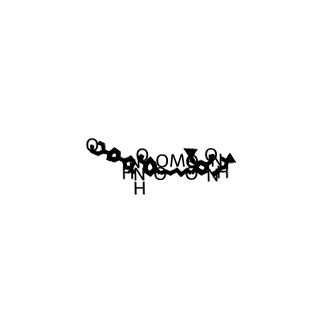 COc1cc2c(cc1OCCCCCOc1cc3c(cc1OC1CC1)C(=O)N1CC4(CC4)C[C@H]1C=N3)NC[C@@H]1CC(c3ccc(C4CCOCC4)cc3)=CN1C2=O